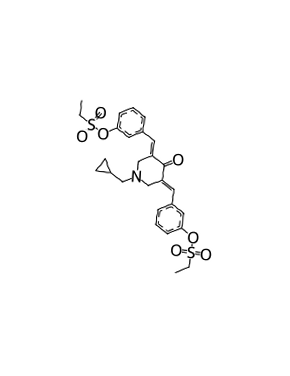 CCS(=O)(=O)Oc1cccc(/C=C2\CN(CC3CC3)C/C(=C\c3cccc(OS(=O)(=O)CC)c3)C2=O)c1